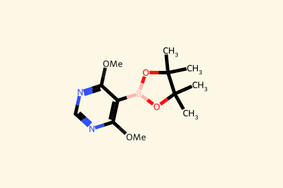 COc1ncnc(OC)c1B1OC(C)(C)C(C)(C)O1